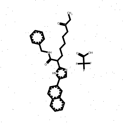 CCC(=O)CCCCCC(C(=O)NCc1ccccc1)c1ncc(-c2ccc3ccccc3c2)[nH]1.O=C(O)C(F)(F)F